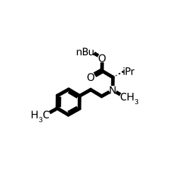 CCCCOC(=O)[C@H](C(C)C)N(C)CCc1ccc(C)cc1